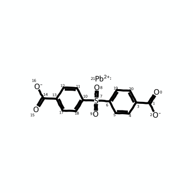 O=C([O-])c1ccc(S(=O)(=O)c2ccc(C(=O)[O-])cc2)cc1.[Pb+2]